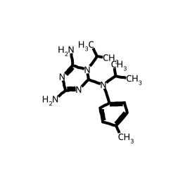 Cc1ccc(N(C(C)C)C2N=C(N)N=C(N)N2C(C)C)cc1